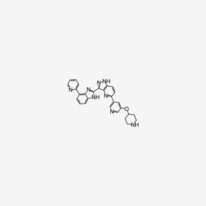 c1ccc(-c2cccc3[nH]c(-c4n[nH]c5ccc(-c6cncc(OC7CCNCC7)c6)nc45)nc23)nc1